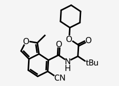 Cc1occ2ccc(C#N)c(C(=O)NC(C(=O)OC3CCCCC3)C(C)(C)C)c12